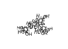 CC1OC(Oc2c(-c3cc(O)c(O)c(O)c3)oc3cc(O)cc(O)c3c2=O)C(O)C(OC(=O)c2cc(O)c(O)c(O)c2)C1O